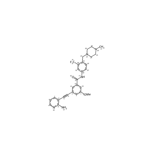 COc1cc(C#Cc2cccnc2N)cc(C(=O)Nc2ccc(CN3CCN(C)CC3)c(C(F)(F)F)c2)c1